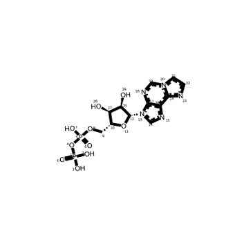 O=P(O)(O)OP(=O)(O)OC[C@H]1O[C@@H](n2cnc3c2ncn2ccnc32)[C@H](O)[C@@H]1O